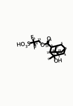 CC1(O)C2CC3CC(C2)C(C(=O)OCC(F)(F)S(=O)(=O)O)C1C3